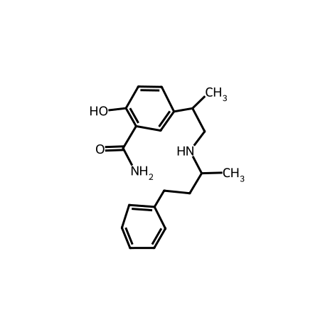 CC(CCc1ccccc1)NCC(C)c1ccc(O)c(C(N)=O)c1